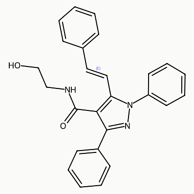 O=C(NCCO)c1c(-c2ccccc2)nn(-c2ccccc2)c1/C=C/c1ccccc1